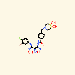 O=C(Nc1nonc1C(=NO)Nc1ccc(F)c(Br)c1)c1ccc(CN2CCS(O)(O)CC2)cc1